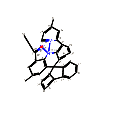 Cc1cc2c3c(c1)C1(c4ccccc4-c4ccccc41)c1cccc4c1[N+]3([n+]1ccc(C)cc1-4)[n+]1ccc(C)cc1-2